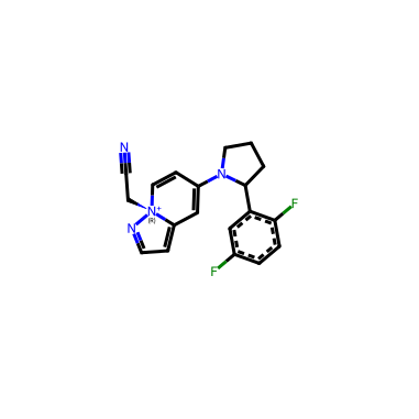 N#CC[N@@+]12C=CC(N3CCCC3c3cc(F)ccc3F)=CC1=CC=N2